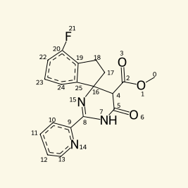 COC(=O)C1C(=O)NC(c2ccccn2)=NC12CCc1c(F)cccc12